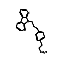 O=C(O)CCc1ccc(CCCn2c3ncccc3c3cccnc32)cc1